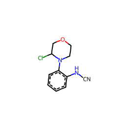 N#CNc1ccccc1N1CCOCC1Cl